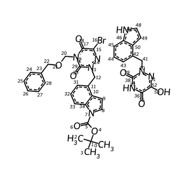 CC(C)(C)OC(=O)n1ccc2c(Cn3nc(Br)c(=O)n(COCc4ccccc4)c3=O)cccc21.O=c1[nH]c(=O)n(Cc2cccc3[nH]ccc23)nc1O